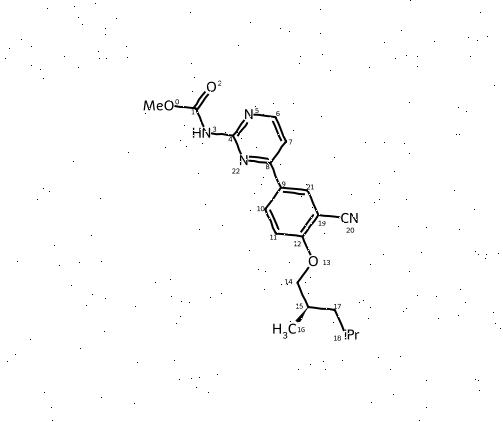 COC(=O)Nc1nccc(-c2ccc(OC[C@H](C)CC(C)C)c(C#N)c2)n1